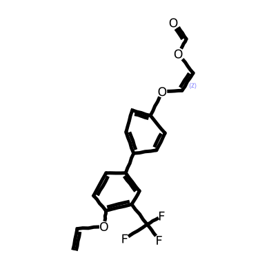 C=COc1ccc(-c2ccc(O/C=C\OC=O)cc2)cc1C(F)(F)F